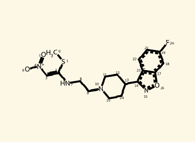 CSC(=C[N+](=O)[O-])NCCN1CCC(c2noc3cc(F)ccc23)CC1